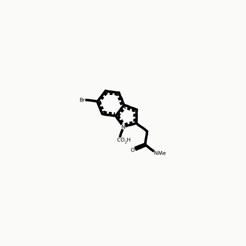 CNC(=O)Cc1cc2ccc(Br)cc2n1C(=O)O